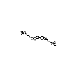 C=CC(=O)OCCCCCCOc1ccc(-c2ccc3cc(OCCCCCCOC(=O)C=C)ccc3c2)cc1